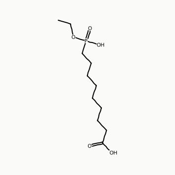 CCOP(=O)(O)CCCCCCCCC(=O)O